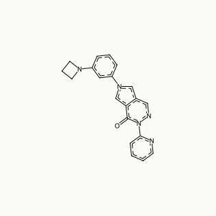 O=c1c2cn(-c3cccc(N4CCC4)c3)cc2cnn1-c1ccccn1